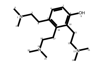 CN(C)CCc1ccc(O)c(CCN(C)C)c1CCN(C)C